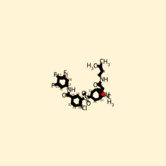 CC(C)=CCNC(=O)C[C@@]1(O)C2CC(S(=O)(=O)c3cc(C(=O)Nc4cc(F)c(F)c(F)c4)ccc3Cl)CC1[C@@H](C)C2